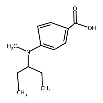 CCC(CC)N(C)c1ccc(C(=O)O)cc1